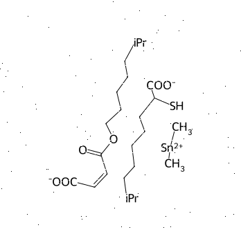 CC(C)CCCCCC(S)C(=O)[O-].CC(C)CCCCCOC(=O)/C=C\C(=O)[O-].[CH3][Sn+2][CH3]